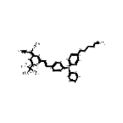 [C-]#[N+]/C(C#N)=C1C=C(/C=C/c2ccc(N(c3ccccc3)c3ccc(CCCCC=C)cc3)cc2)OC(C(C)(C)C)=C\1